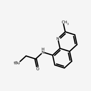 Cc1ccc2cccc(NC(=O)CC(C)(C)C)c2n1